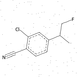 [CH2]C(CF)c1ccc(C#N)c(Cl)c1